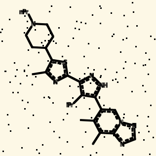 CCCN1CCC(c2sc(-c3n[nH]c(-c4cn5ncnc5c(C)c4C)c3C(C)C)nc2C)CC1